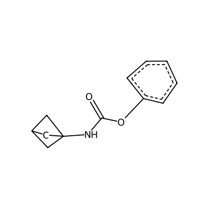 O=C(NC12CC(C1)C2)Oc1ccccc1